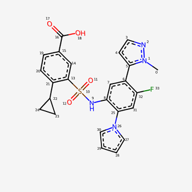 Cn1nccc1-c1cc(NS(=O)(=O)c2cc(C(=O)O)ccc2C2CC2)c(-n2cccc2)cc1F